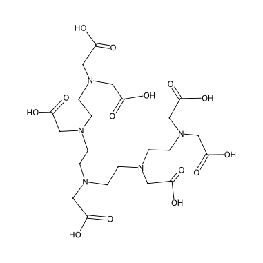 O=C(O)CN(CCN(CCN(CC(=O)O)CC(=O)O)CC(=O)O)CCN(CCN(CC(=O)O)CC(=O)O)CC(=O)O